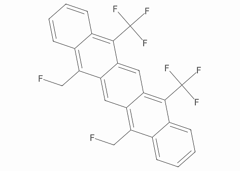 FCc1c2ccccc2c(C(F)(F)F)c2cc3c(C(F)(F)F)c4ccccc4c(CF)c3cc12